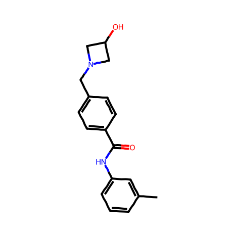 Cc1cccc(NC(=O)c2ccc(CN3CC(O)C3)cc2)c1